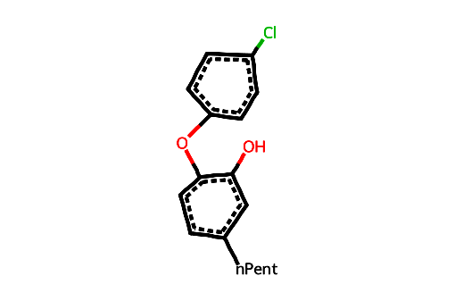 CCCCCc1ccc(Oc2ccc(Cl)cc2)c(O)c1